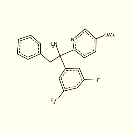 COc1ccc(C(N)(Cc2ccccc2)c2cc(F)cc(C(F)(F)F)c2)nc1